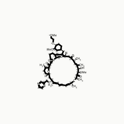 COCCO[C@@H]1CC[C@@H](CC2[C@H]3CCCN4C(=O)C(=O)[C@]5(O)O[C@@H](CC[C@H]5C)C[C@@H](OCc5cnccn5)/C(C)=C/C=C/C=C/[C@@H](C)C[C@@H](C)C(=O)[C@H](OC)[C@H](O)/C(C)=C/[C@@H](C)C(=O)C[C@@H]2OC(=O)C34)C[C@H]1OC